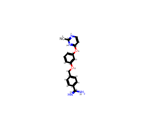 N#Cc1nccc(Oc2cccc(OCc3ccc(C(=N)N)cc3)c2)n1